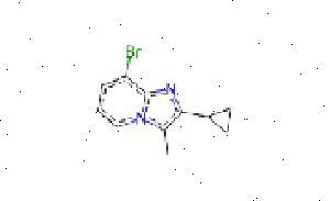 Cc1c(C2CC2)nc2c(Br)cccn12